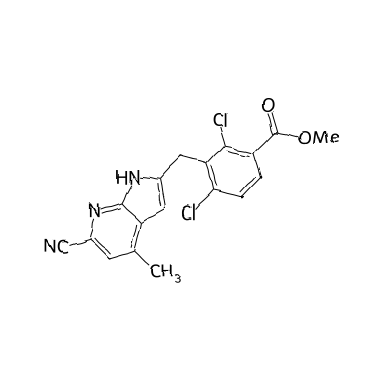 COC(=O)c1ccc(Cl)c(Cc2cc3c(C)cc(C#N)nc3[nH]2)c1Cl